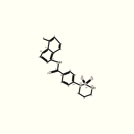 Cc1cccc2c(NC(=O)c3ccc(N4CCCNS4(=O)=O)cc3)cccc12